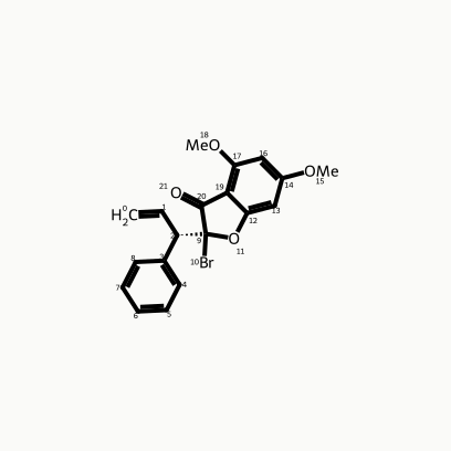 C=C[C@@H](c1ccccc1)C1(Br)Oc2cc(OC)cc(OC)c2C1=O